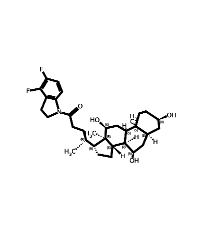 C[C@H](CCC(=O)N1CCc2c1ccc(F)c2F)[C@H]1CC[C@H]2[C@@H]3[C@H](O)C[C@@H]4C[C@H](O)CC[C@]4(C)[C@H]3C[C@H](O)[C@]12C